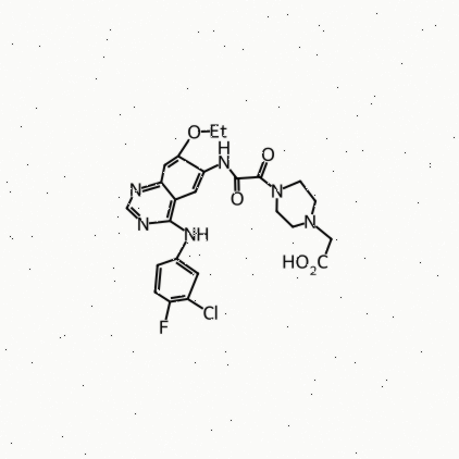 CCOc1cc2ncnc(Nc3ccc(F)c(Cl)c3)c2cc1NC(=O)C(=O)N1CCN(CC(=O)O)CC1